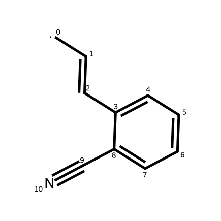 [CH2]C=Cc1ccccc1C#N